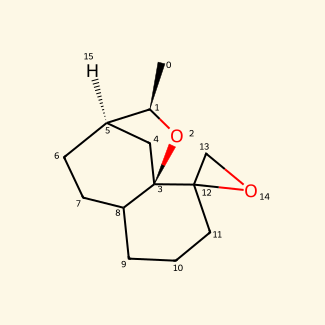 C[C@H]1O[C@]23C[C@H]1CCC2CCCC31CO1